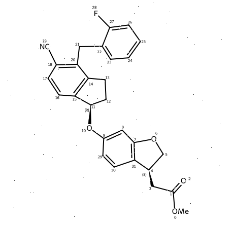 COC(=O)C[C@@H]1COc2cc(O[C@@H]3CCc4c3ccc(C#N)c4Cc3ccccc3F)ccc21